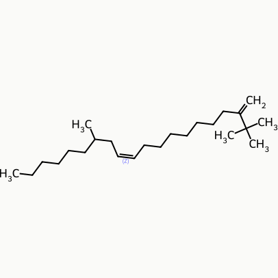 C=C(CCCCCCC/C=C\CC(C)CCCCCC)C(C)(C)C